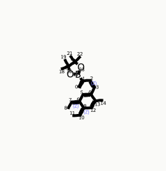 C=C(/C=C\c1cc(=C/C)/c(=C\C)cc1C)B1OC(C)(C)C(C)(C)O1